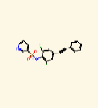 O=S(=O)(Nc1c(F)cc(C#Cc2ccccc2)cc1F)c1cccnc1